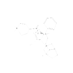 Cc1nnc(C(C)C)n1C1CC2CC[C@@H](C1)N2CCC(NC(=O)C1CCC(F)(F)CC1)c1ccccc1